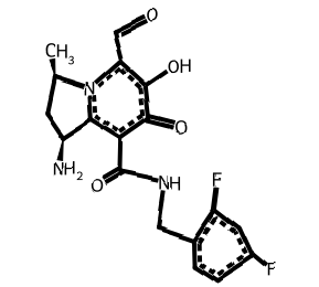 C[C@@H]1C[C@H](N)c2c(C(=O)NCc3ccc(F)cc3F)c(=O)c(O)c(C=O)n21